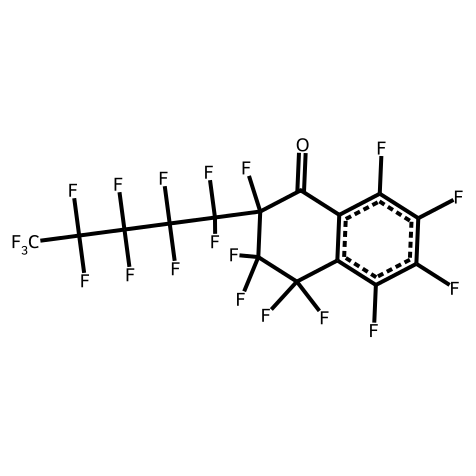 O=C1c2c(F)c(F)c(F)c(F)c2C(F)(F)C(F)(F)C1(F)C(F)(F)C(F)(F)C(F)(F)C(F)(F)C(F)(F)F